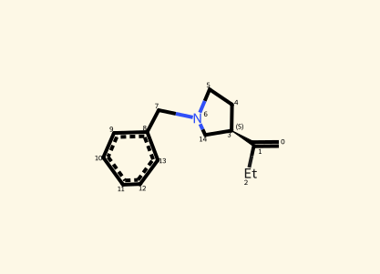 C=C(CC)[C@@H]1CCN(Cc2ccccc2)C1